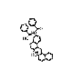 O=C(O)c1ccccc1.O=C(O)c1ccccc1.Oc1ccc2ccccc2c1Cc1c(O)ccc2ccccc12